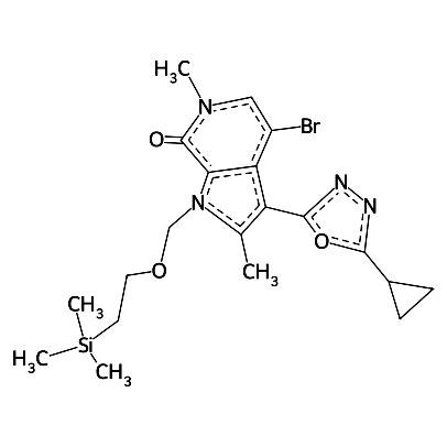 Cc1c(-c2nnc(C3CC3)o2)c2c(Br)cn(C)c(=O)c2n1COCC[Si](C)(C)C